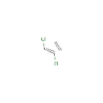 C=C.ClC=CCl